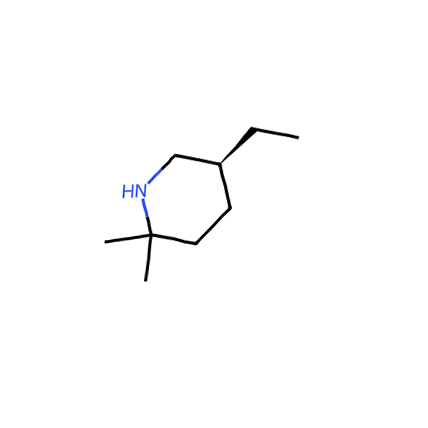 CC[C@H]1CCC(C)(C)NC1